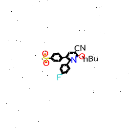 CCCCOc1nc(-c2ccc(F)cc2)c(-c2ccc(S(C)(=O)=O)cc2)cc1C#N